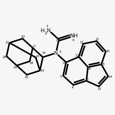 N=C(N)N(c1ccc2c3c(cccc13)C=C2)C1C2CC3CC(C2)CC1C3